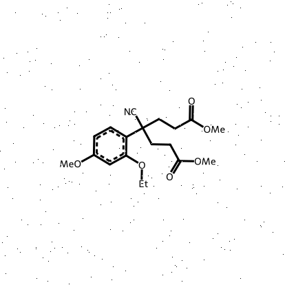 CCOc1cc(OC)ccc1C(C#N)(CCC(=O)OC)CCC(=O)OC